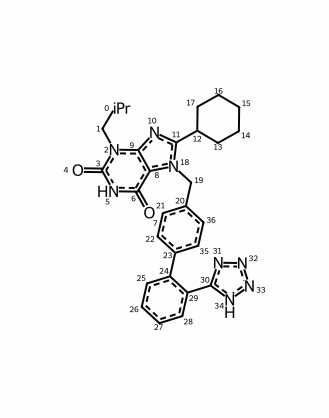 CC(C)Cn1c(=O)[nH]c(=O)c2c1nc(C1CCCCC1)n2Cc1ccc(-c2ccccc2-c2nnn[nH]2)cc1